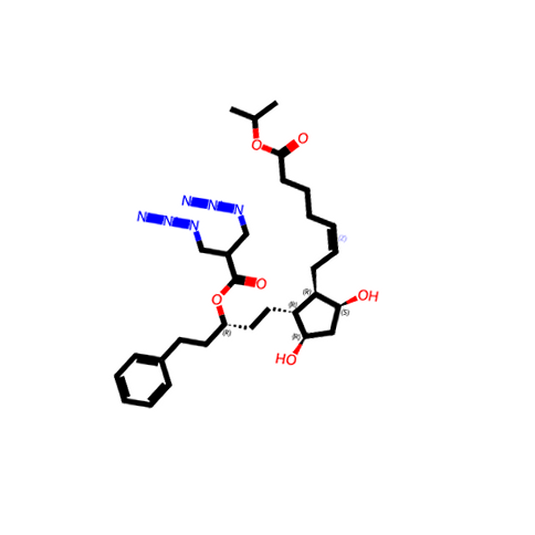 CC(C)OC(=O)CCC/C=C\C[C@@H]1[C@@H](CC[C@H](CCc2ccccc2)OC(=O)C(CN=[N+]=[N-])CN=[N+]=[N-])[C@H](O)C[C@@H]1O